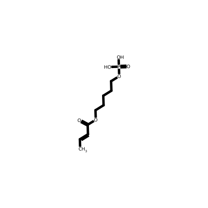 CC=CC(=O)OCCCCCOP(=O)(O)O